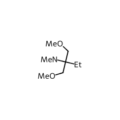 CCC(COC)(COC)NC